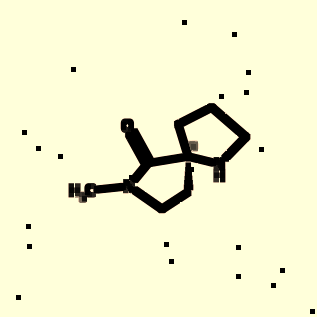 CN1CC[C@@]2(CCCN2)C1=O